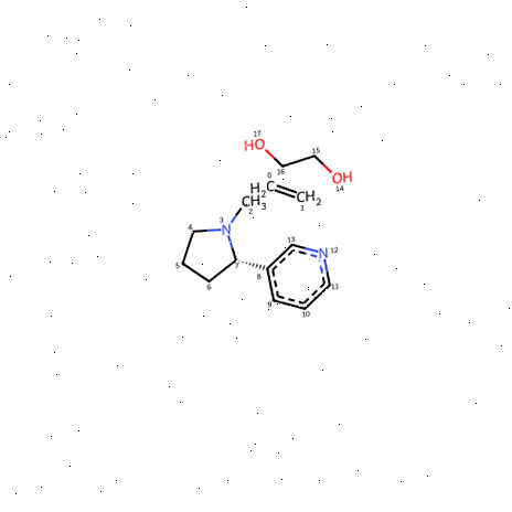 C=C.CN1CCC[C@H]1c1cccnc1.OCCO